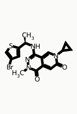 C[C@@H](Nc1nn(C)c(=O)c2cc(=O)n(C3CC3)cc12)c1cc(Br)cs1